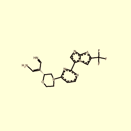 N=C/C(=C\N)[C@@H]1CN(c2ccnc(-c3cnc4sc(C(F)(F)F)cn34)n2)CCO1